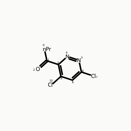 CCCC(=O)c1nnc(Cl)cc1Cl